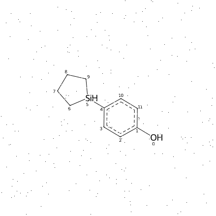 Oc1ccc([SiH]2CCCC2)cc1